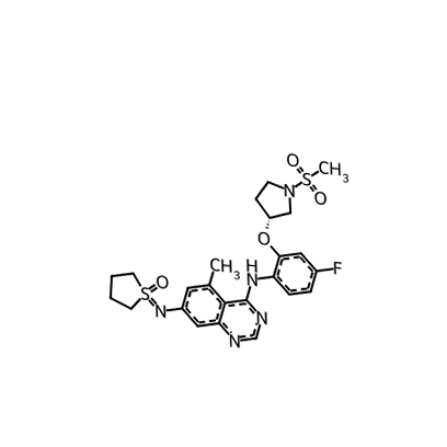 Cc1cc(N=S2(=O)CCCC2)cc2ncnc(Nc3ccc(F)cc3O[C@@H]3CCN(S(C)(=O)=O)C3)c12